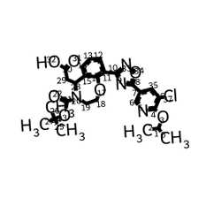 CC(C)Oc1ncc(-c2nc(-c3cccc4c3OCCN(C(=O)OC(C)(C)C)C4CC(=O)O)no2)cc1Cl